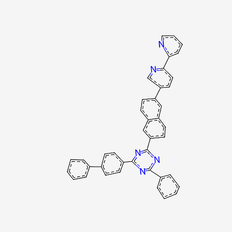 c1ccc(-c2ccc(-c3nc(-c4ccccc4)nc(-c4ccc5cc(-c6ccc(-c7ccccn7)nc6)ccc5c4)n3)cc2)cc1